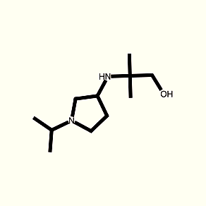 CC(C)N1CCC(NC(C)(C)CO)C1